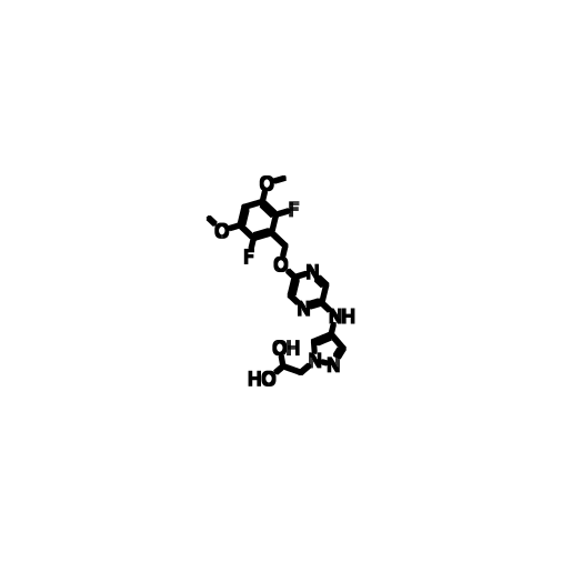 COc1cc(OC)c(F)c(COc2cnc(Nc3cnn(CC(O)O)c3)cn2)c1F